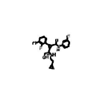 O=C(Nc1cccc(Cl)c1)C1C(c2cccc(Cl)c2F)C1[C@H](CO)NCCC1CC1